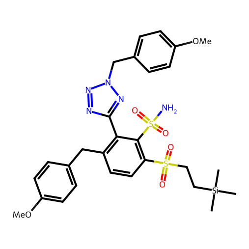 COc1ccc(Cc2ccc(S(=O)(=O)CC[Si](C)(C)C)c(S(N)(=O)=O)c2-c2nnn(Cc3ccc(OC)cc3)n2)cc1